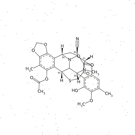 COc1c(C)cc2c(c1O)[C@@H]1C3[C@@H]4SCC(=O)C(=O)OC[C@@H](c5c6c(c(C)c(OC(C)=O)c54)OCO6)N3[C@@H](C#N)[C@H](C2)N1C